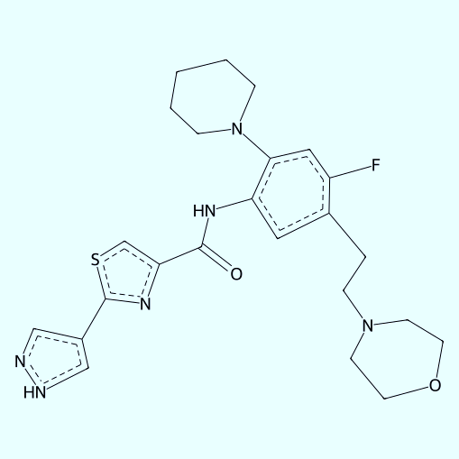 O=C(Nc1cc(CCN2CCOCC2)c(F)cc1N1CCCCC1)c1csc(-c2cn[nH]c2)n1